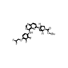 CC(C)(C)OC(=O)N1C[C@@H]2C[C@H]1CN2c1ccc2ncnc(Nc3ccc(OCC(F)F)c(F)c3F)c2n1